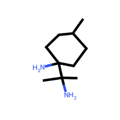 CC1CCC(N)(C(C)(C)N)CC1